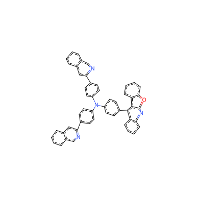 c1ccc2cc(-c3ccc(N(c4ccc(-c5cc6ccccc6cn5)cc4)c4ccc(-c5c6ccccc6nc6oc7ccccc7c56)cc4)cc3)ncc2c1